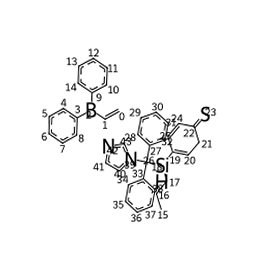 C=CB(c1ccccc1)c1ccccc1.CCC[SiH](C1=CCC(=S)C=C1)C(c1ccccc1)(c1ccccc1)n1ccnc1